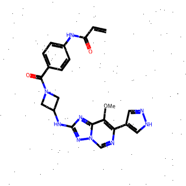 C=CC(=O)Nc1ccc(C(=O)N2CC(Nc3nc4c(OC)c(-c5cn[nH]c5)ncn4n3)C2)cc1